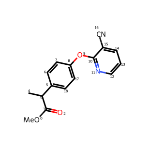 COC(=O)C(C)c1ccc(Oc2ncccc2C#N)cc1